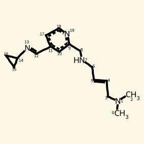 CN(C)CC=CCNCc1cc(C=NC2CC2)ccn1